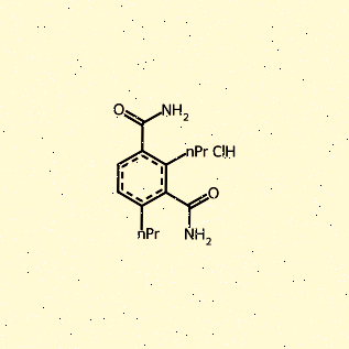 CCCc1ccc(C(N)=O)c(CCC)c1C(N)=O.Cl